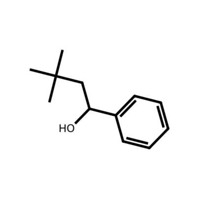 CC(C)(C)CC(O)c1ccccc1